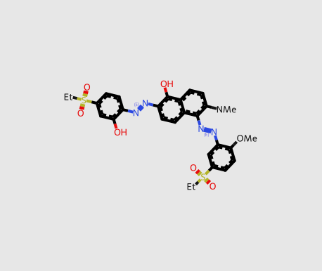 CCS(=O)(=O)c1ccc(/N=N/c2ccc3c(/N=N/c4cc(S(=O)(=O)CC)ccc4OC)c(NC)ccc3c2O)c(O)c1